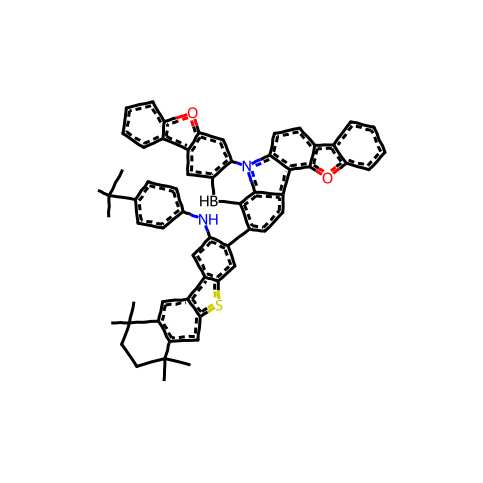 CC(C)(C)c1ccc(Nc2cc3c(cc2-c2ccc4c5c6oc7ccccc7c6ccc5n5c4c2Bc2cc4c(cc2-5)oc2ccccc24)sc2cc4c(cc23)C(C)(C)CCC4(C)C)cc1